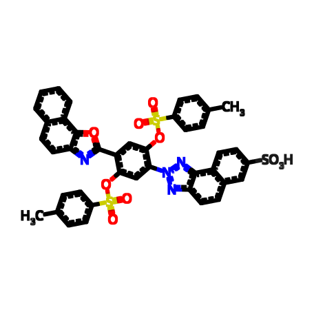 Cc1ccc(S(=O)(=O)Oc2cc(-n3nc4ccc5cc(S(=O)(=O)O)ccc5c4n3)c(OS(=O)(=O)c3ccc(C)cc3)cc2-c2nc3ccc4ccccc4c3o2)cc1